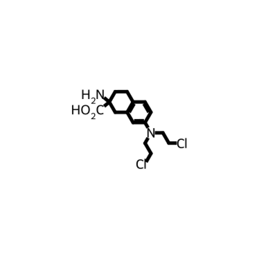 NC1(C(=O)O)CCc2ccc(N(CCCl)CCCl)cc2C1